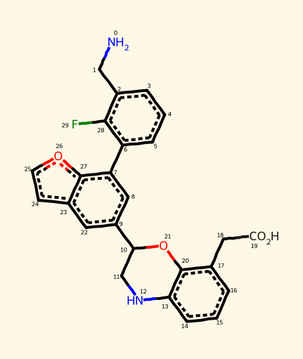 NCc1cccc(-c2cc(C3CNc4cccc(CC(=O)O)c4O3)cc3ccoc23)c1F